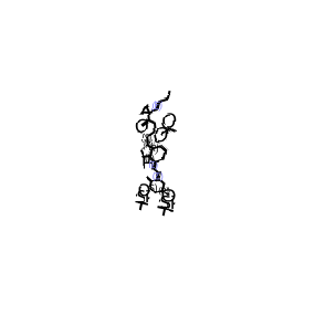 C=C1/C(=C\C=C2/CCC[C@]3(C)[C@@H]([C@H](C)C(CC(=O)C4(/C=C/CC)CC4)OC(C)=O)CC[C@@H]23)C[C@@H](O[Si](C)(C)C(C)(C)C)C[C@@H]1O[Si](C)(C)C(C)(C)C